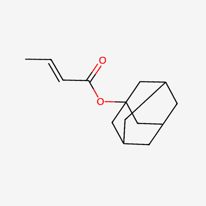 CC=CC(=O)OC12CC3CC(CC(C3)C1)C2